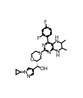 CC1Nc2nc(N3CCO[C@@H](C(O)c4cnn(C5CC5)c4)C3)nc(-c3ccc(F)cc3F)c2NC1C